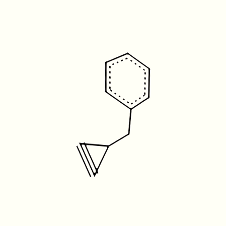 C1#CC1Cc1ccccc1